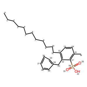 CCCCCCCCCCCCc1ccc(C)c(S(=O)(=O)O)c1Cc1ccccc1